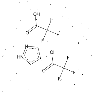 O=C(O)C(F)(F)F.O=C(O)C(F)(F)F.c1cn[nH]c1